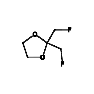 FCC1(CF)OCCO1